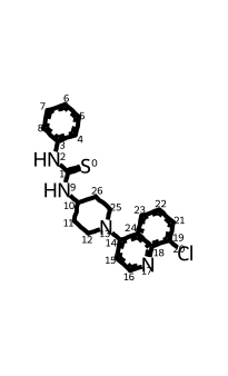 S=C(Nc1ccccc1)NC1CCN(c2ccnc3c(Cl)cccc23)CC1